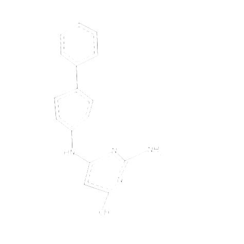 Cc1cc(Nc2ccc(-c3ccccc3)cc2)nc(N)n1